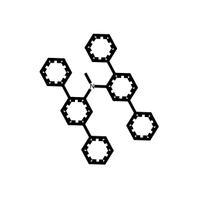 CN(c1cc(-c2ccccc2)ccc1-c1ccccc1)c1cc(-c2ccccc2)ccc1-c1ccccc1